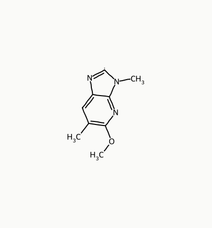 COc1nc2c(cc1C)n[c]n2C